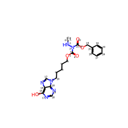 CCNN(C(=O)OCCCCCn1cnc2c(O)ncnc21)C(=O)OCc1ccccc1